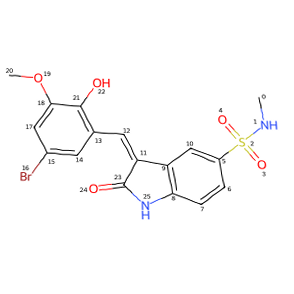 CNS(=O)(=O)c1ccc2c(c1)C(=Cc1cc(Br)cc(OC)c1O)C(=O)N2